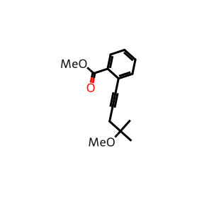 COC(=O)c1ccccc1C#CCC(C)(C)OC